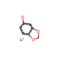 [Li+].[O-]c1ccc2c(c1)OCO2